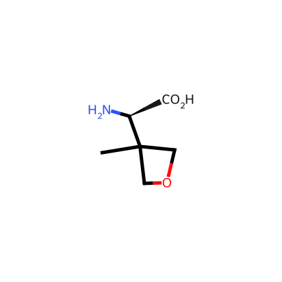 CC1([C@@H](N)C(=O)O)COC1